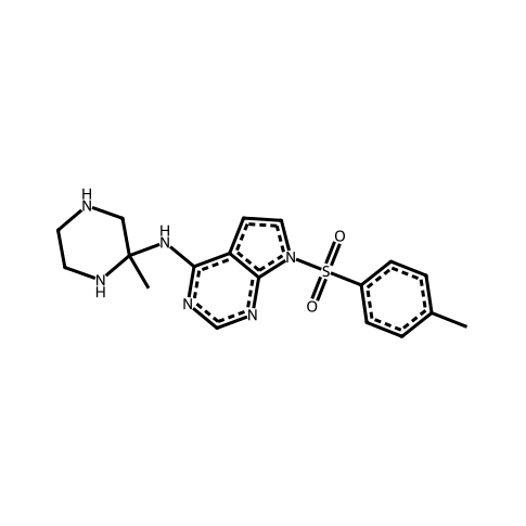 Cc1ccc(S(=O)(=O)n2ccc3c(NC4(C)CNCCN4)ncnc32)cc1